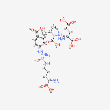 CC(C)C(N)C(=O)O.NC(=O)NCCCC(N)C(=O)O.NC(CCC(=O)O)C(=O)O.Nc1ccc(C(=O)O)cc1